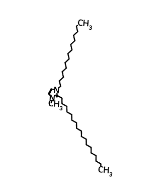 CCCCCCCCCCCCCCCCCCc1n(CCCCCCCCCCCCCCC)cc[n+]1C